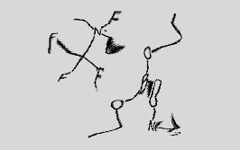 CCOB(ON)OCC.C[N+](C)(F)C(F)(F)F